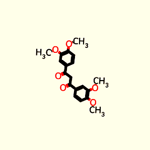 COc1ccc(C(=O)CC(=O)c2ccc(OC)c(OC)c2)cc1OC